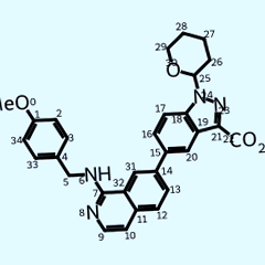 COc1ccc(CNc2nccc3ccc(-c4ccc5c(c4)c(C(=O)O)nn5C4CCCCO4)cc23)cc1